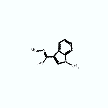 CCCC(=NC(C)(C)C)c1cn(C)c2ccccc12